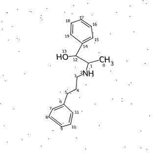 CC(NCCCc1ccccc1)C(O)c1ccccc1